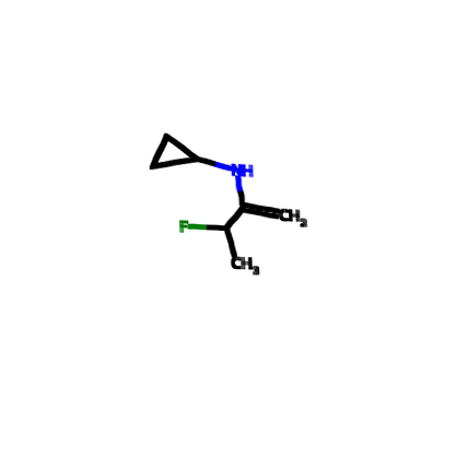 C=C(NC1CC1)C(C)F